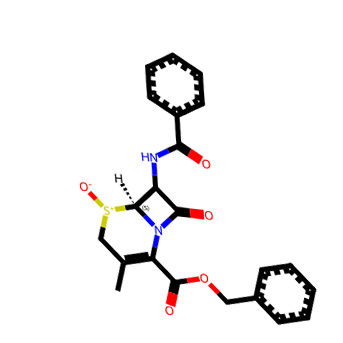 CC1=C(C(=O)OCc2ccccc2)N2C(=O)C(NC(=O)c3ccccc3)[C@@H]2[S+]([O-])C1